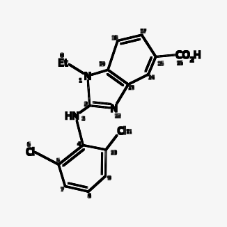 CCn1c(Nc2c(Cl)cccc2Cl)nc2cc(C(=O)O)ccc21